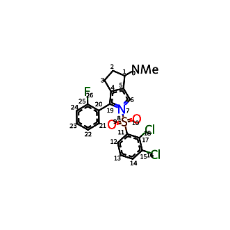 CNC1CCc2c1cn(S(=O)(=O)c1cccc(Cl)c1Cl)c2-c1ccccc1F